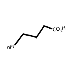 CCCC[CH]CC(=O)O